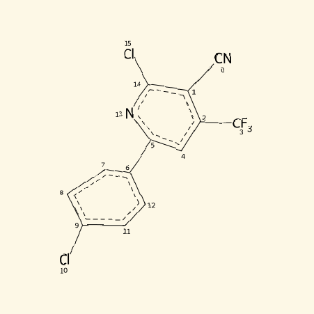 N#Cc1c(C(F)(F)F)cc(-c2ccc(Cl)cc2)nc1Cl